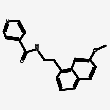 COc1ccc2cccc(CCNC(=O)c3ccncc3)c2c1